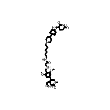 COc1cc(-c2cn(C)c(=O)c3[nH]ncc23)cc(OC)c1CNCC(=O)NCCCCCCN1CCC(c2ccc(NC3CCC(=O)NC3=O)cc2)CC1